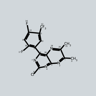 Cc1nc2nc(Cl)nc(-c3cc(C(F)(F)F)c(F)cc3F)c2nc1C